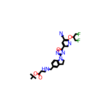 CC(C)(C)OC(=O)CCNCc1ccc2c(c1)CCN2c1noc(-c2cnc(OC(CF)CF)c(C#N)c2)n1